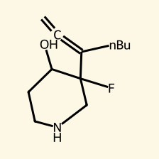 C=C=C(CCCC)C1(F)CNCCC1O